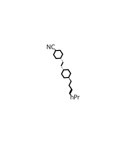 CCC/C=C/CC[C@H]1CC[C@H](CC[C@H]2CC[C@H](C#N)CC2)CC1